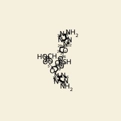 CP(=O)(O)OC[C@H]1O[C@@H](n2cnc3c(N)ncnc32)C[C@@H]1OP(=O)(S)OC[C@@H]1CC[C@H](n2cnc3c(N)ncnc32)O1